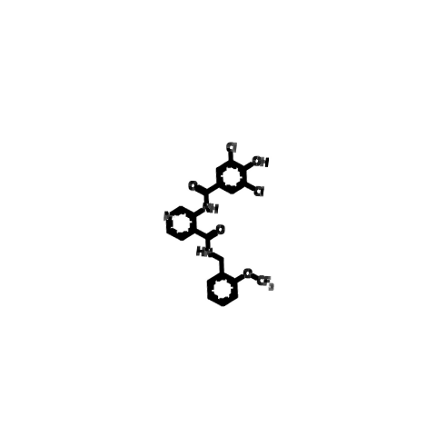 O=C(Nc1cnccc1C(=O)NCc1ccccc1OC(F)(F)F)c1cc(Cl)c(O)c(Cl)c1